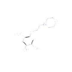 Cc1cc(C)c(OCCN2CCOCC2)cc1C